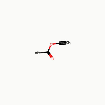 C#COC(=O)CCC